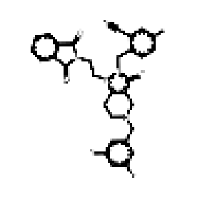 N#Cc1cc(F)ccc1Cn1c(=O)c2c(n1CCN1C(=O)c3ccccc3C1=O)CCN(Cc1cc(F)cc(F)c1)C2